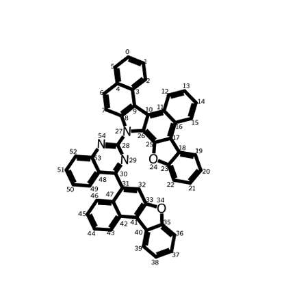 c1ccc2c(c1)ccc1c2c2c3ccccc3c3c4ccccc4oc3c2n1-c1nc(-c2cc3oc4ccccc4c3c3ccccc23)c2ccccc2n1